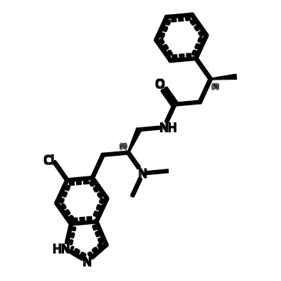 C[C@@H](CC(=O)NC[C@H](Cc1cc2cn[nH]c2cc1Cl)N(C)C)c1ccccc1